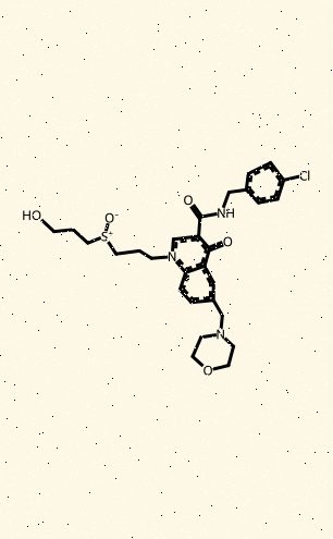 O=C(NCc1ccc(Cl)cc1)c1cn(CCC[S+]([O-])CCCO)c2ccc(CN3CCOCC3)cc2c1=O